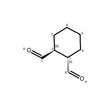 O=C[C@H]1CCCC[C@@H]1C=O